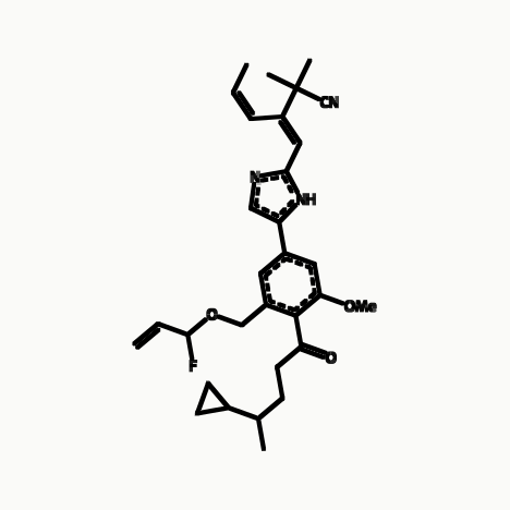 C=CC(F)OCc1cc(-c2cnc(/C=C(\C=C/C)C(C)(C)C#N)[nH]2)cc(OC)c1C(=O)CCC(C)C1CC1